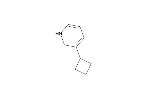 [C]1NC=CC=C1C1CCC1